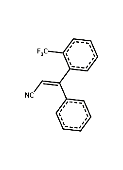 N#C/C=C(\c1ccccc1)c1ccccc1C(F)(F)F